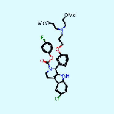 COCCN(CCCOc1cccc(C2C3=C(CCN2C(=O)Oc2ccc(F)cc2)C2C=C(Cl)C=CC2N3)c1)CCOC